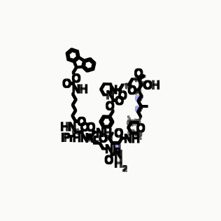 CC(=O)O[C@@H](C)/C=C\C(=O)N[C@@H]1C[C@H](C)[C@H](C/C=C(C)/C=C/[C@H]2O[C@H](CC(=O)N3CCCCN3C(=O)OCc3ccc(NC(=O)[C@H](CCCNC(N)=O)NC(=O)[C@@H](NC(=O)CCCCCNC(=O)OCC4c5ccccc5-c5ccccc54)C(C)C)cc3)C[C@@]3(CO3)[C@@H]2O)O[C@@H]1C